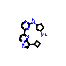 N[C@H]1CC[C@H](Nc2nccc(-c3ccn4ncc(C5CCC5)c4n3)n2)C1